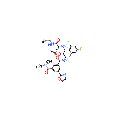 CCCN(C)C(=O)c1cc(C(=O)N[C@@H](Cc2cc(F)cc(F)c2)[C@H](O)CN[C@@H](C)C(=O)NCC(C)C)cc(-c2ncco2)c1